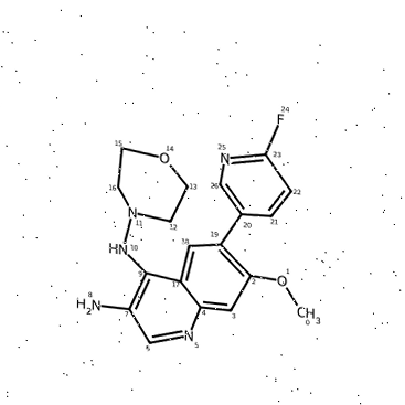 COc1cc2ncc(N)c(NN3CCOCC3)c2cc1-c1ccc(F)nc1